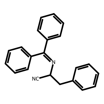 N#CC(Cc1ccccc1)N=C(c1ccccc1)c1ccccc1